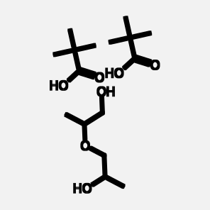 CC(C)(C)C(=O)O.CC(C)(C)C(=O)O.CC(O)COC(C)CO